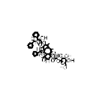 CC(=O)O[C@@]12CO[C@@H]1C[C@H](OC(=O)COC1OC(CO)C(O)C(O)C1O)[C@@]1(C)C(=O)[C@H](C)C3=C(C)C(OC(=O)[C@H](O)[C@@H](NC(=O)c4ccccc4)c4ccccc4)C[C@](O)(C3)[C@@H](OC(=O)c3ccccc3)C12